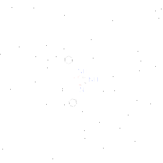 O=C(NCCc1ccccc1)[C@@H]1CNC[C@H]1C(=O)NCCc1ccccc1